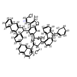 CC[C@@H]1C(c2cccc3ccccc23)=NC(c2cc(C3Cc4cc5ccccc5cc4-c4ccccc43)c3c(/C=C\Cl)c(I)oc3c2)NC1c1cccc2c1c1ccccc1n2C1=CC=CCC1